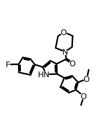 COc1ccc(-c2[nH]c(-c3ccc(F)cc3)cc2C(=O)N2CCOCC2)cc1OC